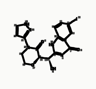 O=C1[C@@H]([C@@H](O)c2nc(=O)c3cc(I)ccc3[nH]2)OCCN1c1cc[nH]n1